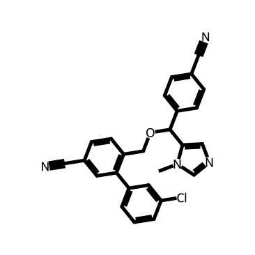 Cn1cncc1C(OCc1ccc(C#N)cc1-c1cccc(Cl)c1)c1ccc(C#N)cc1